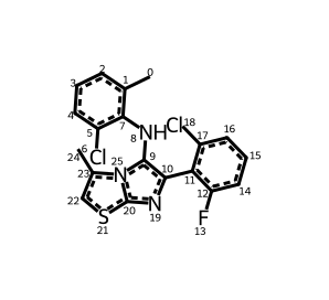 Cc1cccc(Cl)c1Nc1c(-c2c(F)cccc2Cl)nc2scc(C)n12